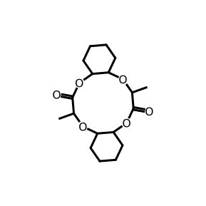 CC1OC2CCCCC2OC(=O)C(C)OC2CCCCC2OC1=O